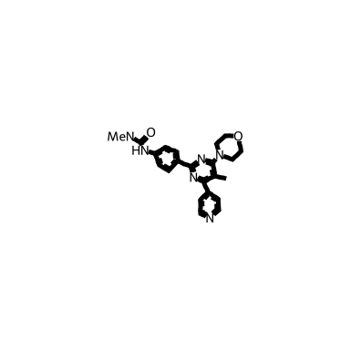 CNC(=O)Nc1ccc(-c2nc(-c3ccncc3)c(C)c(N3CCOCC3)n2)cc1